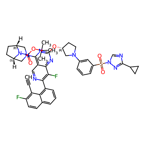 C#Cc1c(F)ccc2cccc(-c3ncc4c(N5C[C@H]6CC[C@@H](C5)N6C(=O)OC(C)(C)C)nc(O[C@@H]5CCN(c6cccc(S(=O)(=O)n7cnc(C8CC8)n7)c6)C5)nc4c3F)c12